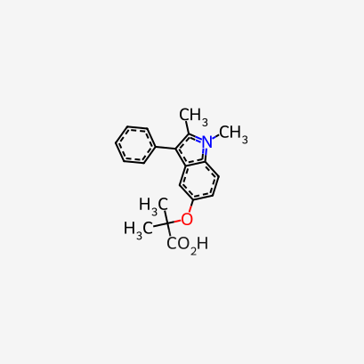 Cc1c(-c2ccccc2)c2cc(OC(C)(C)C(=O)O)ccc2n1C